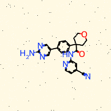 N#Cc1ccnc(NC(=O)C2(c3ccc(-c4cnc(N)nc4)cc3)CCOCC2)c1